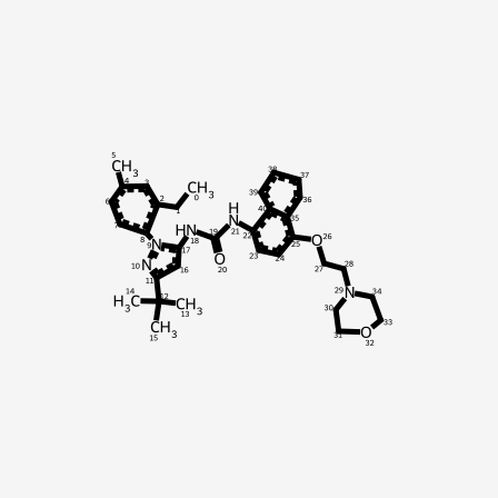 CCc1cc(C)ccc1-n1nc(C(C)(C)C)cc1NC(=O)Nc1ccc(OCCN2CCOCC2)c2ccccc12